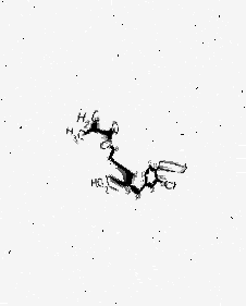 C=C(C)C(=O)OCCCC(=Cc1ccc(Cl)c(Cl)c1)C(=O)O